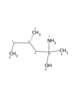 CC[C@H](C)CC(C)(N)O